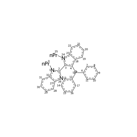 CCCn1c(-c2c(P(c3ccccc3)c3ccccc3)c3ccccc3n2CCC)nc2ccccc21